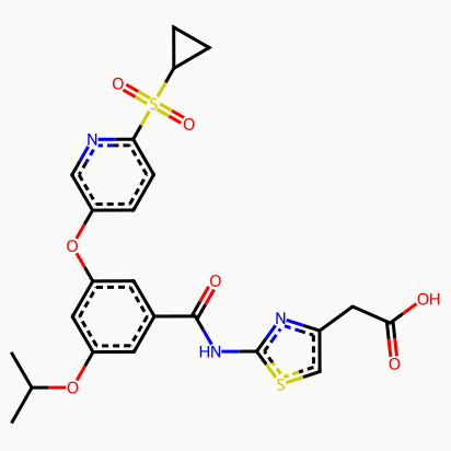 CC(C)Oc1cc(Oc2ccc(S(=O)(=O)C3CC3)nc2)cc(C(=O)Nc2nc(CC(=O)O)cs2)c1